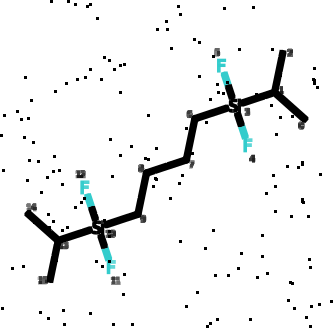 CC(C)[Si](F)(F)CCCC[Si](F)(F)C(C)C